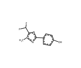 Cn1nc(-c2ccc(O)cc2)nc1C(F)F